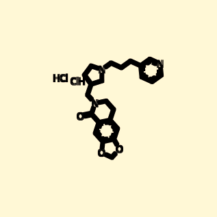 Cl.Cl.O=C1c2cc3c(cc2CCN1CC1CCN(CCCc2cccnc2)C1)OCO3